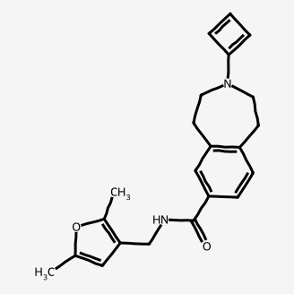 Cc1cc(CNC(=O)c2ccc3c(c2)CCN(C2=CC=C2)CC3)c(C)o1